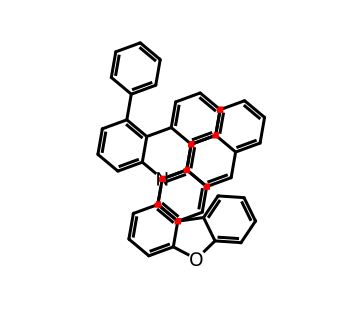 c1ccc(-c2ccccc2-c2c(-c3ccccc3)cccc2N(c2ccc3ccccc3c2)c2cccc3oc4ccccc4c23)cc1